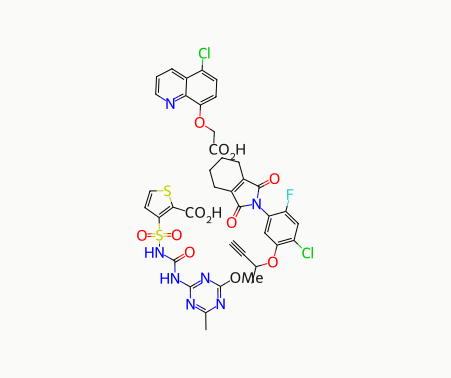 C#CC(C)Oc1cc(N2C(=O)C3=C(CCCC3)C2=O)c(F)cc1Cl.COc1nc(C)nc(NC(=O)NS(=O)(=O)c2ccsc2C(=O)O)n1.O=C(O)COc1ccc(Cl)c2cccnc12